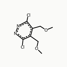 COCc1c(Cl)nnc(Cl)c1COC